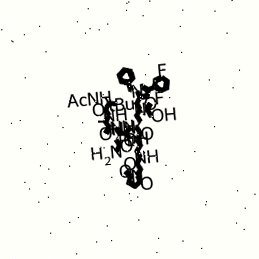 CC(=O)N[C@@H](C)C(=O)N[C@H](C)C(=O)N[C@@H](CC(N)=O)C(O)N[C@@H](CCN(C(=O)CO)[C@@H](c1cc(-c2cc(F)ccc2F)cn1Cc1ccccc1)C(C)(C)C)C(=O)NCCNC(=O)CN1C(=O)C=CC1=O